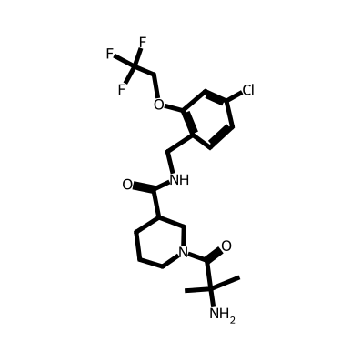 CC(C)(N)C(=O)N1CCCC(C(=O)NCc2ccc(Cl)cc2OCC(F)(F)F)C1